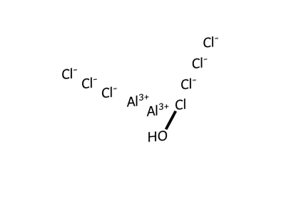 OCl.[Al+3].[Al+3].[Cl-].[Cl-].[Cl-].[Cl-].[Cl-].[Cl-]